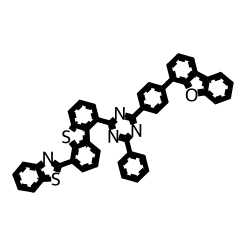 c1ccc(-c2nc(-c3ccc(-c4cccc5c4oc4ccccc45)cc3)nc(-c3cccc4sc5c(-c6nc7ccccc7s6)cccc5c34)n2)cc1